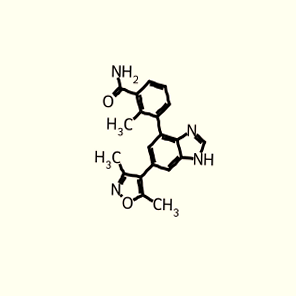 Cc1noc(C)c1-c1cc(-c2cccc(C(N)=O)c2C)c2nc[nH]c2c1